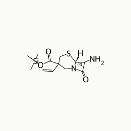 C=CC1(C(=O)O[Si](C)(C)C)CS[C@@H]2C(N)C(=O)N2C1